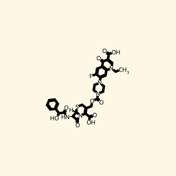 CCn1cc(C(=O)O)c(=O)c2cc(F)c(N3CCN(C(=O)OCC4=C(C(=O)O)N5C(=O)[C@H](NC(=O)C(O)c6ccccc6)[C@@H]5SC4)CC3)cc21